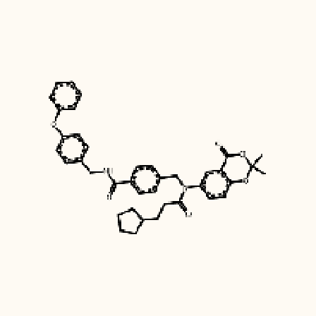 CC1(C)OC(=O)c2cc(N(Cc3ccc(C(=O)NCc4ccc(Oc5ccccc5)cc4)cc3)C(=O)CCC3CCCC3)ccc2O1